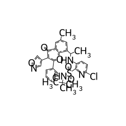 Cc1cc(C(C)Nc2ccc(Cl)nc2S(=O)(=O)NC(C)(C)C)c2oc(-c3ccccc3)c(-c3cnoc3)c(=O)c2c1